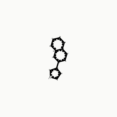 [c]1occc1-c1ccc2ccccc2c1